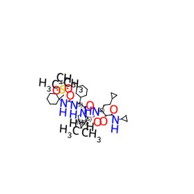 CC1(C)[C@@H]2[C@@H](C(=O)N[C@@H](CCC3CC3)C(=O)C(=O)NC3CC3)N(C(=O)[C@@H](NC(=O)NC3(CS(=O)(=O)C(C)(C)C)CCCCC3)C3CCCCC3)C[C@@H]21